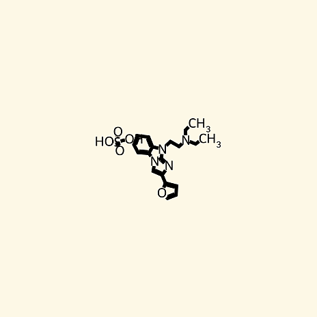 CCN(CC)CCn1c2ccccc2n2cc(-c3ccco3)nc12.O=S(=O)(O)O